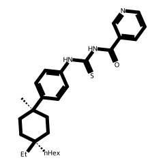 CCCCCC[C@]1(CC)CC[C@@](C)(c2ccc(NC(=S)NC(=O)c3cccnc3)cc2)CC1